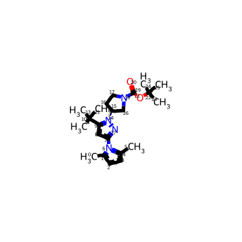 Cc1ccc(C)n1-c1cc(C(C)(C)C)n([C@@H]2CCN(C(=O)OC(C)(C)C)C2)n1